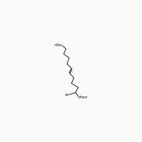 [CH2]CCCCCCCCCCCCC/C=C/CCCC(CCCC[CH2])C(C)C